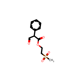 CS(=O)(=O)CCOC(=O)C([C]=O)c1ccccc1